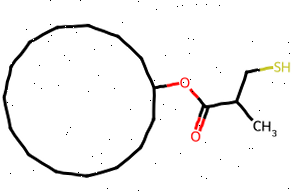 CC(CS)C(=O)OC1CCCCCCCCCCCCCC1